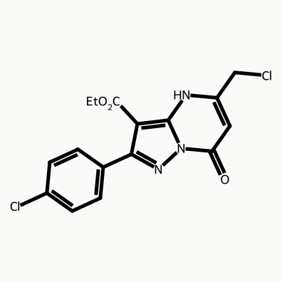 CCOC(=O)c1c(-c2ccc(Cl)cc2)nn2c(=O)cc(CCl)[nH]c12